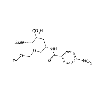 C#CCC(CC(COCOCC)NC(=O)c1ccc([N+](=O)[O-])cc1)C(=O)O